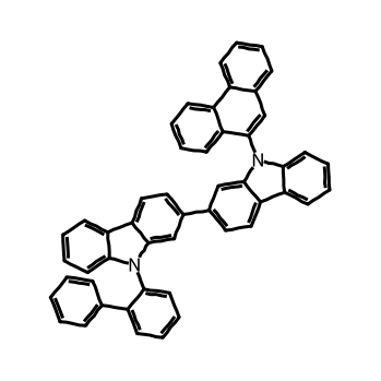 c1ccc(-c2ccccc2-n2c3ccccc3c3ccc(-c4ccc5c6ccccc6n(-c6cc7ccccc7c7ccccc67)c5c4)cc32)cc1